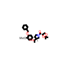 COc1ccc([C@@H]2CN(C(=O)[C@@H]3COC(C)(C)O3)C[C@@]2(C)C(C)O)cc1OCc1ccccc1